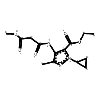 CCOC(=O)c1c(NC(=O)CC(=O)OC)c(C)nn1C1CC1